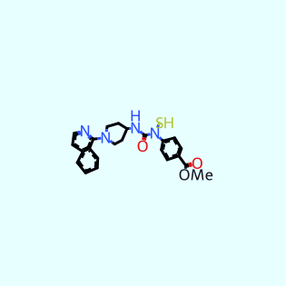 COC(=O)c1ccc(N(S)C(=O)NC2CCN(c3nccc4ccccc34)CC2)cc1